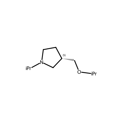 CC(C)OC[C@H]1CCN(C(C)C)C1